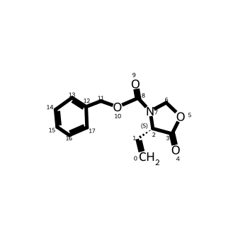 C=C[C@H]1C(=O)OCN1C(=O)OCc1ccccc1